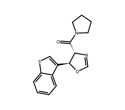 O=C([C@@H]1N=CO[C@H]1c1csc2ccccc12)N1CCCC1